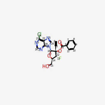 C#C[C@@]1(OC(=O)c2ccccc2)[C@H](F)[C@@H](CO)O[C@H]1n1cnc2c(Cl)ncnc21